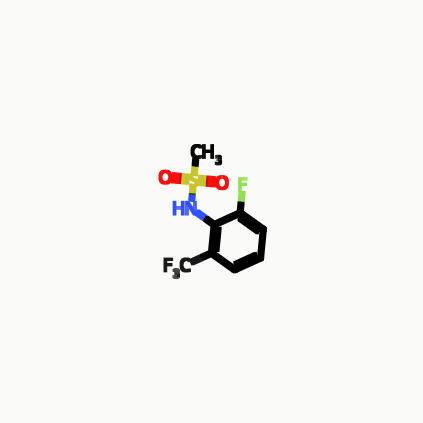 CS(=O)(=O)Nc1c(F)cccc1C(F)(F)F